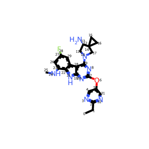 CCc1ncc(Oc2nc(N3C[C@H](N)C4(CC4)C3)c3c(n2)[nH]c2c(NC)cc(F)cc23)cn1